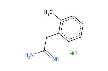 Cc1ccccc1CC(=N)N.Cl